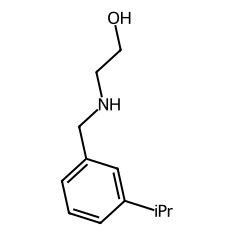 CC(C)c1cccc(CNCCO)c1